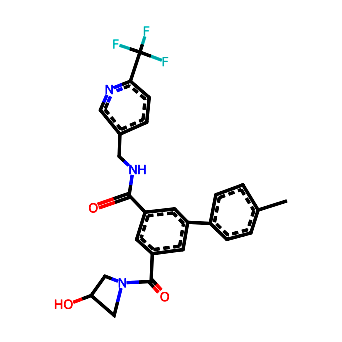 Cc1ccc(-c2cc(C(=O)NCc3ccc(C(F)(F)F)nc3)cc(C(=O)N3CC(O)C3)c2)cc1